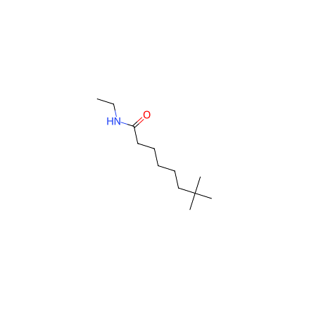 CCNC(=O)CCCCCC(C)(C)C